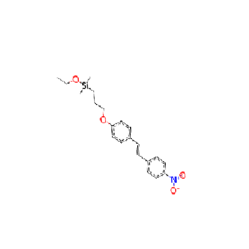 CCO[Si](C)(C)CCCOc1ccc(C=Cc2ccc([N+](=O)[O-])cc2)cc1